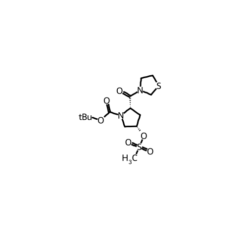 CC(C)(C)OC(=O)N1C[C@@H](OS(C)(=O)=O)C[C@H]1C(=O)N1CCSC1